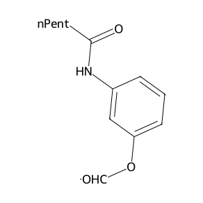 CCCCCC(=O)Nc1cccc(O[C]=O)c1